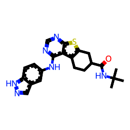 CC(C)(C)NC(=O)C1CCc2c(sc3ncnc(Nc4ccc5[nH]ncc5c4)c23)C1